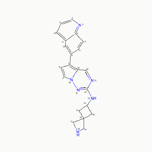 c1cnc2ccc(-c3ccn4nc(NC5CC6(CNC6)C5)ncc34)cc2c1